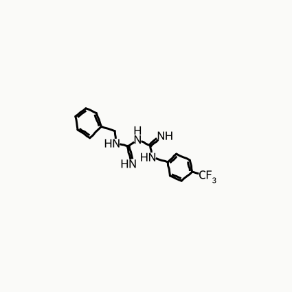 N=C(NCc1ccccc1)NC(=N)Nc1ccc(C(F)(F)F)cc1